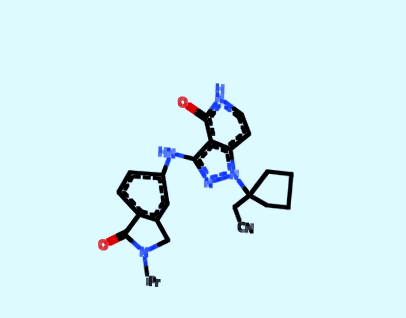 CC(C)N1Cc2cc(Nc3nn(C4(CC#N)CCCC4)c4cc[nH]c(=O)c34)ccc2C1=O